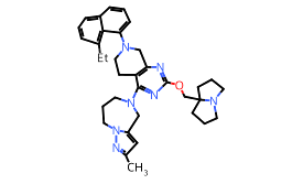 CCc1cccc2cccc(N3CCc4c(nc(OCC56CCCN5CCC6)nc4N4CCCn5nc(C)cc5C4)C3)c12